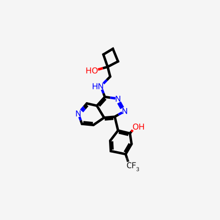 Oc1cc(C(F)(F)F)ccc1-c1nnc(NCC2(O)CCC2)c2cnccc12